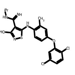 Cc1cc(Oc2cc(Cl)ccc2Cl)ccc1Nc1snc(O)c1C(=N)NC(C)C